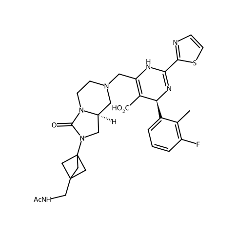 CC(=O)NCC12CC(N3C[C@@H]4CN(CC5=C(C(=O)O)[C@H](c6cccc(F)c6C)N=C(c6nccs6)N5)CCN4C3=O)(C1)C2